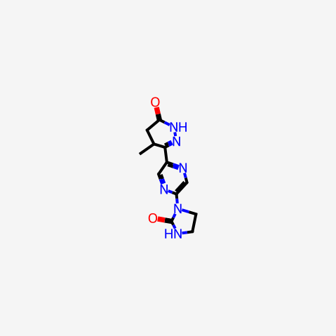 CC1CC(=O)NN=C1c1cnc(N2CCNC2=O)cn1